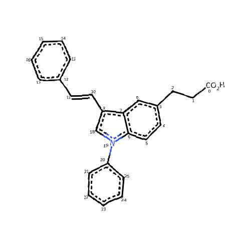 O=C(O)CCc1ccc2c(c1)c(C=Cc1ccccc1)cn2-c1ccccc1